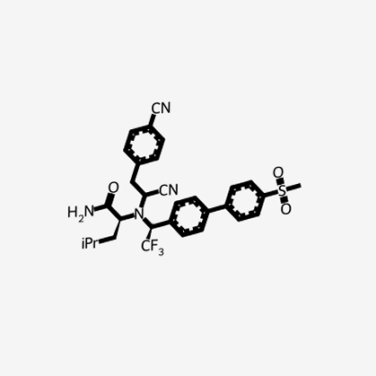 CC(C)C[C@@H](C(N)=O)N(C(C#N)Cc1ccc(C#N)cc1)[C@@H](c1ccc(-c2ccc(S(C)(=O)=O)cc2)cc1)C(F)(F)F